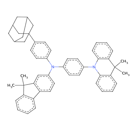 CC1(C)c2ccccc2-c2ccc(N(c3ccc(N4c5ccccc5C(C)(C)c5ccccc54)cc3)c3ccc(C45CC6CC(CC(C6)C4)C5)cc3)cc21